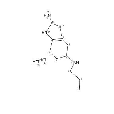 CCCNC1CCC2=C(C1)SC(N)N2.Cl.Cl